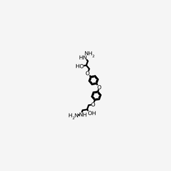 NNCC(O)COc1ccc(Oc2ccc(OCC(O)CNN)cc2)cc1